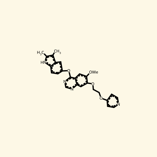 COc1cc2c(Oc3ccc4[nH]c(C)c(C)c4c3)ncnc2cc1OCCOc1ccncc1